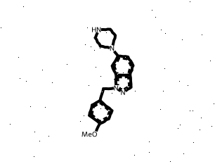 COc1ccc(Cn2ncc3ccc(N4CCNCC4)cc32)cc1